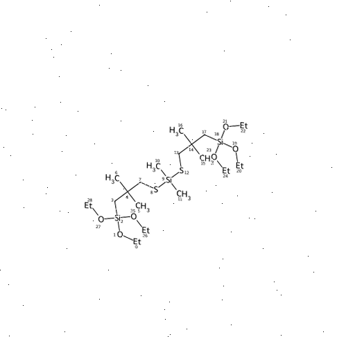 CCO[Si](CC(C)(C)CS[Si](C)(C)SCC(C)(C)C[Si](OCC)(OCC)OCC)(OCC)OCC